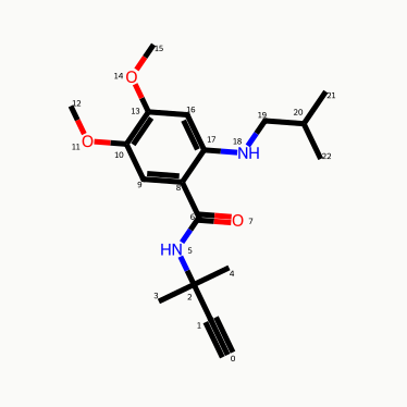 C#CC(C)(C)NC(=O)c1cc(OC)c(OC)cc1NCC(C)C